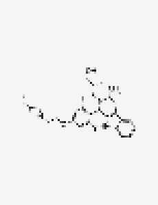 C[C@@H]1Cc2c([nH]c3ccccc23)[C@@H](c2c(F)cc(OCCN3CC(CF)C3)cc2F)N1C[C@@H](F)CO